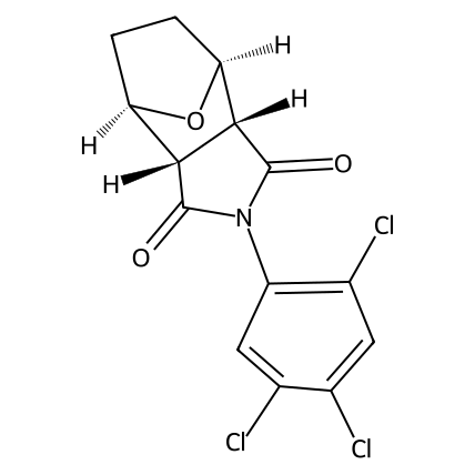 O=C1[C@@H]2[C@H](C(=O)N1c1cc(Cl)c(Cl)cc1Cl)[C@H]1CC[C@@H]2O1